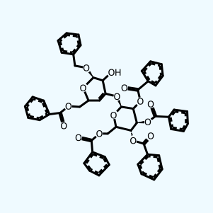 O=C(OCC1C=C(O[C@@H]2OC(COC(=O)c3ccccc3)[C@@H](OC(=O)c3ccccc3)[C@H](OC(=O)c3ccccc3)C2OC(=O)c2ccccc2)C(O)[C@H](OCc2ccccc2)O1)c1ccccc1